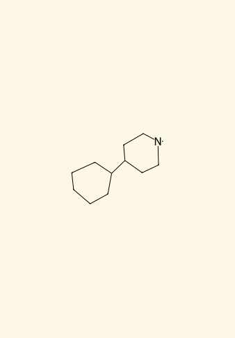 C1CCC(C2CC[N]CC2)CC1